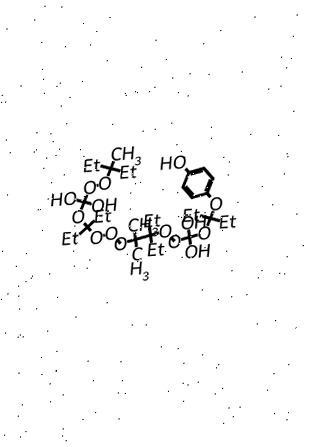 CCC(C)(CC)OOC(O)(O)OC(CC)(CC)OOOC(C)(C)C(CC)(CC)OOC(O)(O)OC(CC)(CC)Oc1ccc(O)cc1